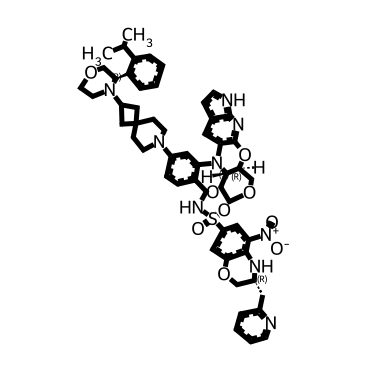 CC(C)c1ccccc1[C@@H]1COCCN1C1CC2(CCN(c3ccc(C(=O)NS(=O)(=O)c4cc5c(c([N+](=O)[O-])c4)N[C@H](Cc4ccccn4)CO5)c(N4c5cc6cc[nH]c6nc5O[C@H]5COCC[C@@H]54)c3)CC2)C1